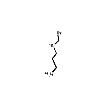 CC(C)CNCCCN